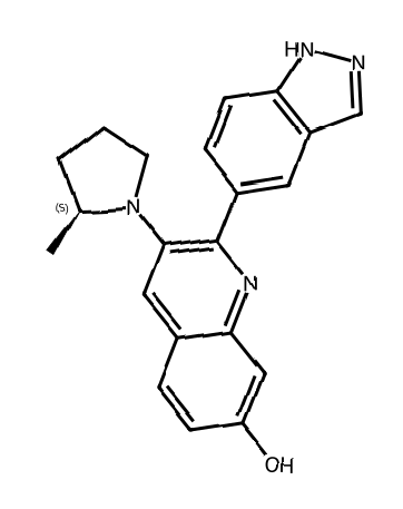 C[C@H]1CCCN1c1cc2ccc(O)cc2nc1-c1ccc2[nH]ncc2c1